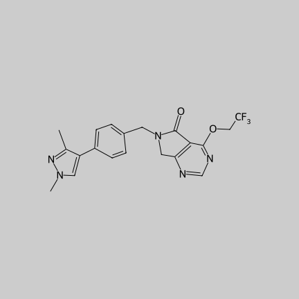 Cc1nn(C)cc1-c1ccc(CN2Cc3ncnc(OCC(F)(F)F)c3C2=O)cc1